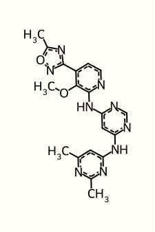 COc1c(-c2noc(C)n2)ccnc1Nc1cc(Nc2cc(C)nc(C)n2)ncn1